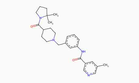 Cc1cncc(C(=O)Nc2cccc(CN3CCC(C(=O)N4CCCC4(C)C)CC3)c2)c1